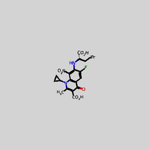 Cc1c(C(=O)O)c(=O)c2cc(F)c(N[C@@H](CC(C)C)C(=O)O)c([N+](=O)[O-])c2n1C1CC1